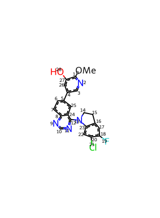 COc1ncc(-c2ccc3ncnc(N4CCc5cc(F)c(Cl)cc54)c3c2)cc1O